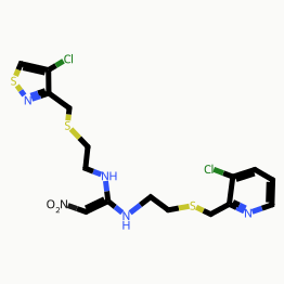 O=[N+]([O-])C=C(NCCSCc1ncccc1Cl)NCCSCc1nscc1Cl